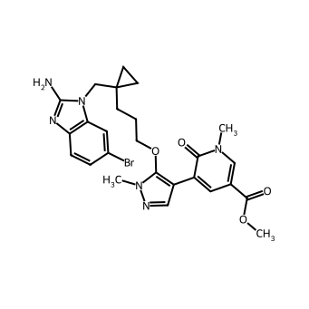 COC(=O)c1cc(-c2cnn(C)c2OCCCC2(Cn3c(N)nc4ccc(Br)cc43)CC2)c(=O)n(C)c1